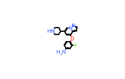 Nc1ccc(Oc2cc(C3CCNCC3)cn3nccc23)c(F)c1